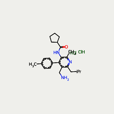 Cc1ccc(-c2c(CN)c(CC(C)C)nc(C)c2NC(=O)C2CCCC2)cc1.Cl.Cl